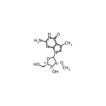 CO[C@H]1C(n2cc(C)c3c(=O)[nH]c(N)nc32)O[C@H](CO)[C@H]1O